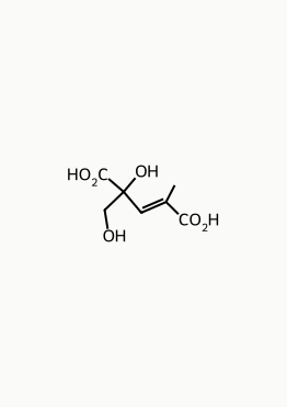 CC(=CC(O)(CO)C(=O)O)C(=O)O